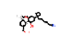 C=C(C)[C@H]1CCC(CO)=C[C@@H]1c1c(O)cc(C2(CCCCCC#N)CCC2)cc1O